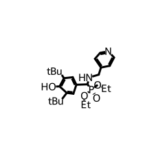 CCOP(=O)(OCC)C(NCc1ccncc1)c1cc(C(C)(C)C)c(O)c(C(C)(C)C)c1